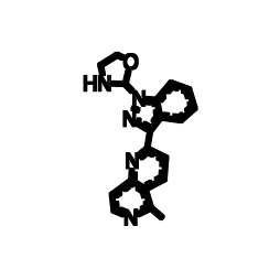 Cc1nccc2nc(-c3nn(C4NCCO4)c4ccccc34)ccc12